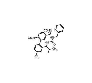 CCOC(=O)Cc1ccc(OC)c(-c2ccc(C(F)(F)F)cc2C(NC(=O)NCc2ccccn2)C(C)I)c1